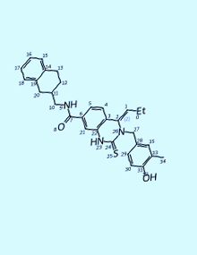 CC/C=C1/c2ccc(C(=O)NCC3CCc4ccccc4C3)cc2NC(=S)N1Cc1ccc(O)c(C)c1